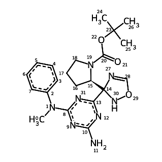 CN(c1ccccc1)c1nc(N)nc(C2([C@H]3CCCN3C(=O)OC(C)(C)C)N=CON2)n1